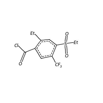 CCc1cc(S(=O)(=O)CC)c(C(F)(F)F)cc1C(=O)Cl